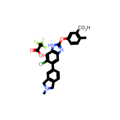 Cc1ccc(Oc2nc3cc(-c4ccc5c(c4)CN(C)C5)c(Cl)cc3[nH]2)cc1C(=O)O.O=C(O)C(F)(F)F